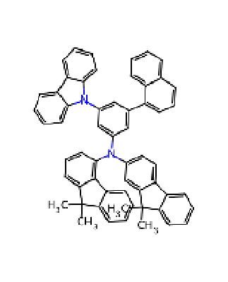 CC1(C)c2ccccc2-c2ccc(N(c3cc(-c4cccc5ccccc45)cc(-n4c5ccccc5c5ccccc54)c3)c3cccc4c3-c3ccccc3C4(C)C)cc21